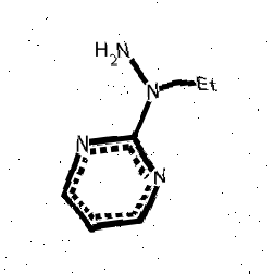 CCN(N)c1ncccn1